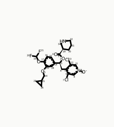 O=C(O[C@@H](Cc1c(Cl)c[n+]([O-])cc1Cl)c1ccc(OC(F)F)c(OCC2CC2)c1)[C@@H]1CCCNC1